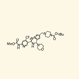 COC(=O)Nc1cc(C(F)(F)F)c(C2=Nn3cc(CN4CCN(C(=O)OC(C)(C)C)CC4)cc3C(N3CCOCC3)N2)cn1